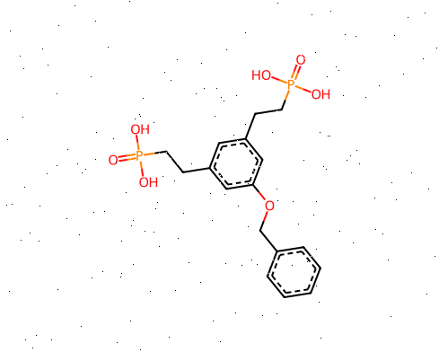 O=P(O)(O)CCc1cc(CCP(=O)(O)O)cc(OCc2ccccc2)c1